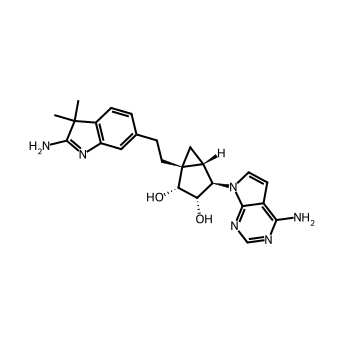 CC1(C)C(N)=Nc2cc(CC[C@@]34C[C@@H]3[C@@H](n3ccc5c(N)ncnc53)[C@H](O)[C@@H]4O)ccc21